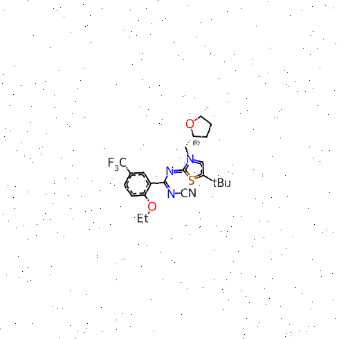 CCOc1ccc(C(F)(F)F)cc1C(=NC#N)N=c1sc(C(C)(C)C)cn1C[C@H]1CCCO1